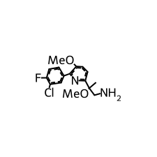 COc1ccc(C(C)(CN)OC)nc1-c1ccc(F)c(Cl)c1